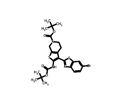 CC(C)(C)OC(=O)Nc1sc2c(c1-c1nc3ccc(Br)cc3s1)CCN(C(=O)OC(C)(C)C)C2